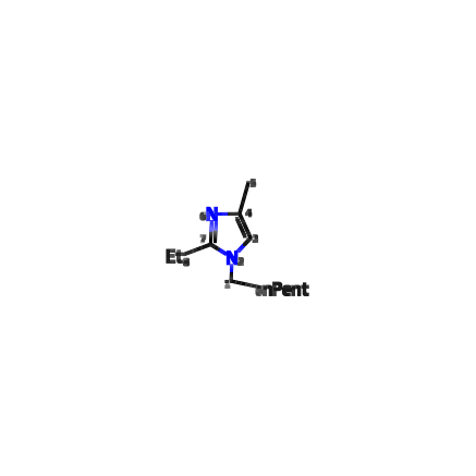 CCCCCCn1cc(C)nc1CC